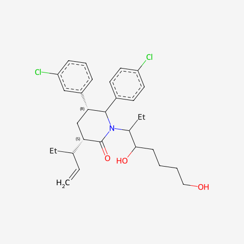 C=CC(CC)[C@@H]1C[C@H](c2cccc(Cl)c2)C(c2ccc(Cl)cc2)N(C(CC)C(O)CCCCO)C1=O